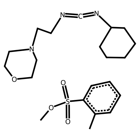 C(=NCCN1CCOCC1)=NC1CCCCC1.COS(=O)(=O)c1ccccc1C